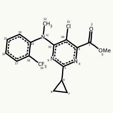 COC(=O)c1nc(C2CC2)nc(N(C)c2ccccc2C(F)(F)F)c1Cl